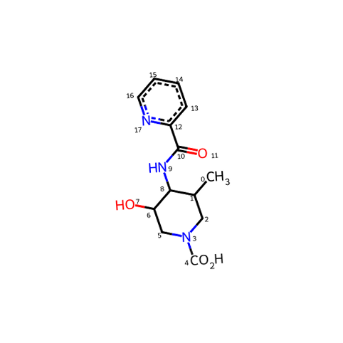 CC1CN(C(=O)O)CC(O)C1NC(=O)c1ccccn1